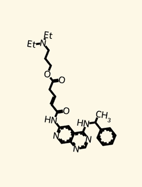 CCN(CC)CCCOC(=O)C/C=C/C(=O)Nc1cc2c(NC(C)c3ccccc3)ncnc2cn1